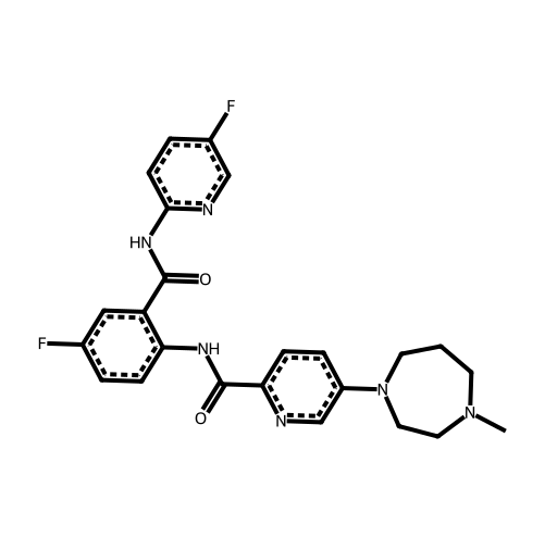 CN1CCCN(c2ccc(C(=O)Nc3ccc(F)cc3C(=O)Nc3ccc(F)cn3)nc2)CC1